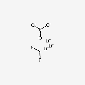 FCF.[Li+].[Li+].[Li+].[O-]B([O-])[O-]